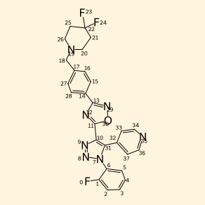 Fc1ccccc1-n1nnc(-c2nc(-c3ccc(CN4CCC(F)(F)CC4)cc3)no2)c1-c1ccncc1